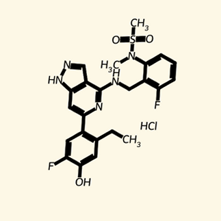 CCc1cc(O)c(F)cc1-c1cc2[nH]ncc2c(NCc2c(F)cccc2N(C)S(C)(=O)=O)n1.Cl